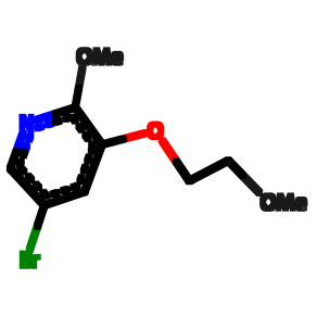 COCCOc1cc(Br)cnc1OC